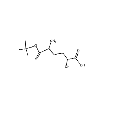 CC(C)(C)OC(=O)C(N)CCC(O)C(=O)O